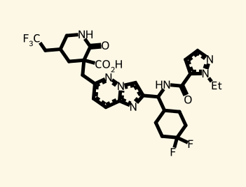 CCn1nccc1C(=O)NC(c1cn2nc(CC3(C(=O)O)CC(CC(F)(F)F)CNC3=O)ccc2n1)C1CCC(F)(F)CC1